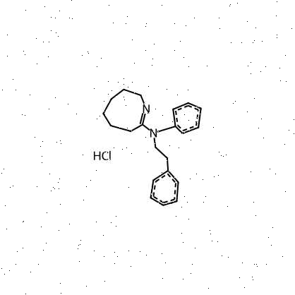 Cl.c1ccc(CCN(C2=NCCCCCC2)c2ccccc2)cc1